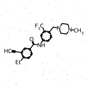 C#Cc1cc(C(=O)Nc2ccc(CN3CCN(C)CC3)c(C(F)(F)F)c2)ccc1CC